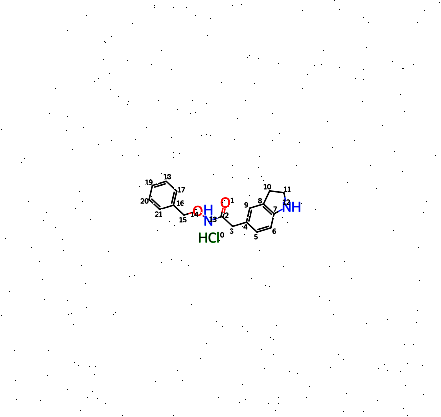 Cl.O=C(Cc1ccc2c(c1)CCN2)NOCc1ccccc1